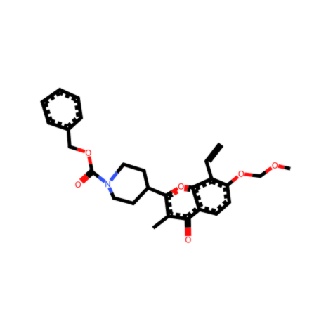 C=Cc1c(OCOC)ccc2c(=O)c(C)c(C3CCN(C(=O)OCc4ccccc4)CC3)oc12